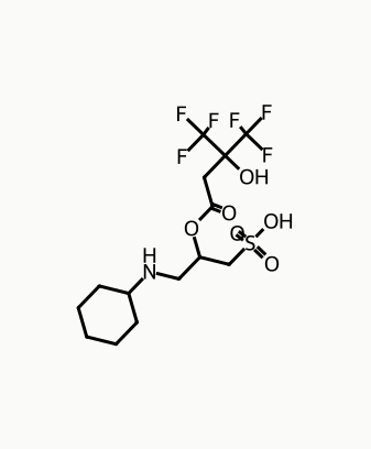 O=C(CC(O)(C(F)(F)F)C(F)(F)F)OC(CNC1CCCCC1)CS(=O)(=O)O